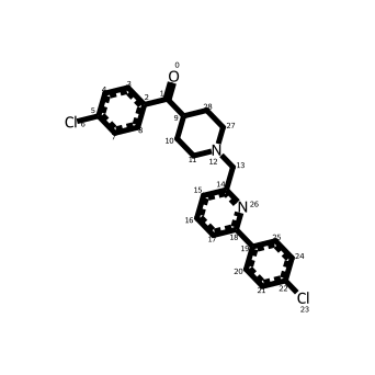 O=C(c1ccc(Cl)cc1)C1CCN(Cc2cccc(-c3ccc(Cl)cc3)n2)CC1